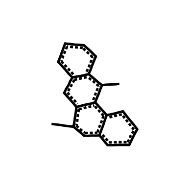 Cc1cc2ccccc2c2c(C)c3ccccc3cc12